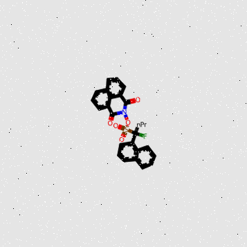 CCCC(F)(c1cccc2ccccc12)S(=O)(=O)ON1C(=O)c2cccc3cccc(c23)C1=O